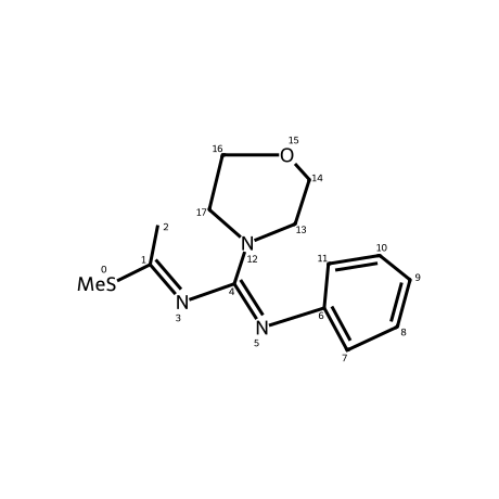 CSC(C)=NC(=Nc1ccccc1)N1CCOCC1